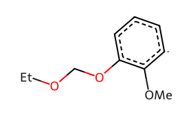 CCOCOc1ccc[c]c1OC